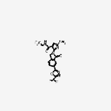 Cn1cc(C(=O)NCC(F)(F)F)c(N2Cc3ccc(-c4nnc(C(F)F)o4)cc3C2=O)n1